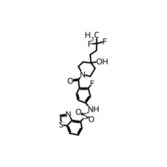 CC(F)(F)CCC1(O)CCN(C(=O)c2ccc(NS(=O)(=O)c3cccc4scnc34)cc2F)CC1